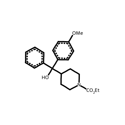 CCOC(=O)N1CCC(C(O)(c2ccccc2)c2ccc(OC)cc2)CC1